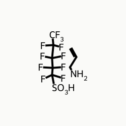 C=CCN.O=S(=O)(O)C(F)(F)C(F)(F)C(F)(F)C(F)(F)C(F)(F)F